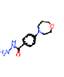 NNC(=O)c1ccc(N2CCCOCC2)cc1